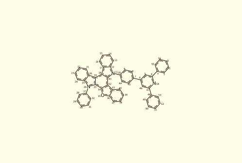 c1ccc(-c2cc(-c3ccc(-n4c5ccccc5c5c6c7ccccc7n(-c7ccccc7)c6c6oc7ccccc7c6c54)cc3)cc(-c3ccccc3)n2)cc1